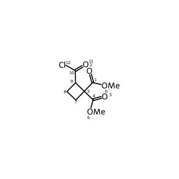 COC(=O)C1(C(=O)OC)CCC1C(=O)Cl